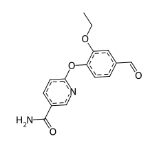 CCOc1cc(C=O)ccc1Oc1ccc(C(N)=O)cn1